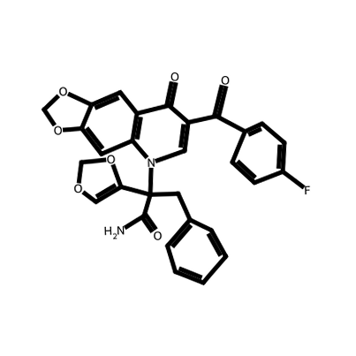 NC(=O)C(Cc1ccccc1)(C1=COCO1)n1cc(C(=O)c2ccc(F)cc2)c(=O)c2cc3c(cc21)OCO3